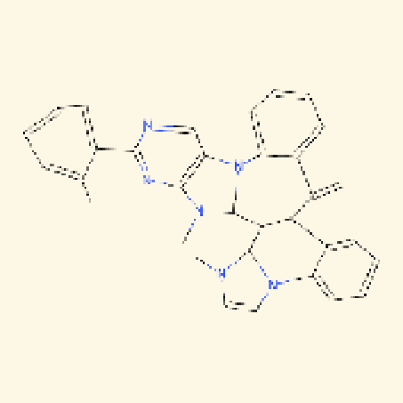 C=C1c2ccccc2N2c3cnc(-c4ccccc4C)nc3N(C)C2C2C1c1ccccc1N1C=CN(C)C21